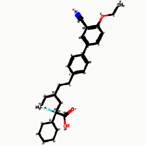 CCOc1ccc(-c2ccc(CCC(CC)C[C@@](F)(C(=O)O)C3CCCCC3)cc2)cc1C#N